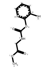 COC(=O)CNC(=O)Oc1ncccc1S